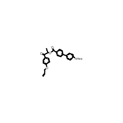 C=CCOc1ccc(C(=O)C(C)OC(=O)c2ccc(-c3ccc(CCCCCC)cc3)cc2)cc1